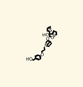 O=C(OC1C[N+]2(CCCOc3ccc(CO)cc3)CCC1CC2)C(O)(c1cccs1)c1cccs1